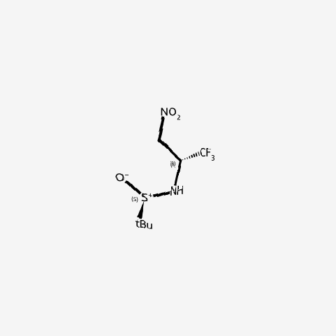 CC(C)(C)[S@@+]([O-])N[C@H](C[N+](=O)[O-])C(F)(F)F